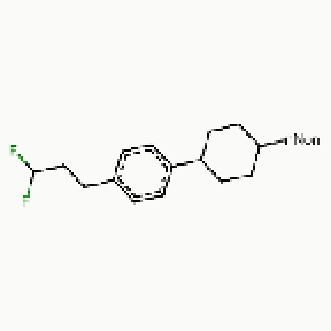 CCCCCCCCCC1CCC(c2ccc(CCC(F)F)cc2)CC1